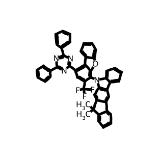 CC1(C)c2ccccc2-c2cc3c4ccccc4n(-c4c(C(F)(F)F)cc(-c5nc(-c6ccccc6)nc(-c6ccccc6)n5)c5c4oc4ccccc45)c3cc21